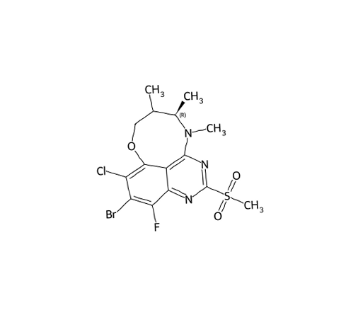 CC1COc2c(Cl)c(Br)c(F)c3nc(S(C)(=O)=O)nc(c23)N(C)[C@@H]1C